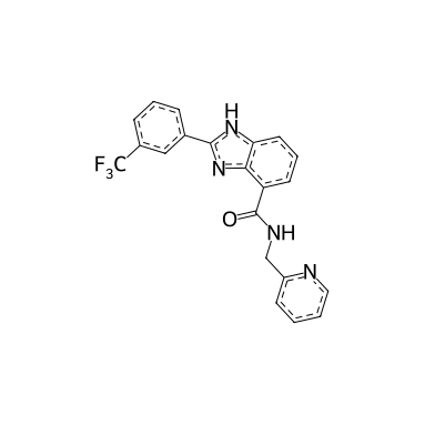 O=C(NCc1ccccn1)c1cccc2[nH]c(-c3cccc(C(F)(F)F)c3)nc12